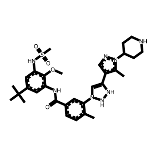 COc1c(NC(=O)c2ccc(C)c(N3C=C(c4cnn(C5CCNCC5)c4C)NN3)c2)cc(C(C)(C)C)cc1NS(C)(=O)=O